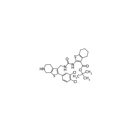 CC(C)(C)OC(=O)c1c(NC(=O)NCc2c(-c3ccc(Cl)c(Cl)c3)sc3c2CCNC3)sc2c1CCCC2